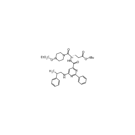 CCOC(=O)ON1CCN(C(=O)[C@H](CCC(=O)OC(C)(C)C)NC(=O)c2cc(NCC(C)c3ccccc3)nc(-c3ccccc3)n2)CC1